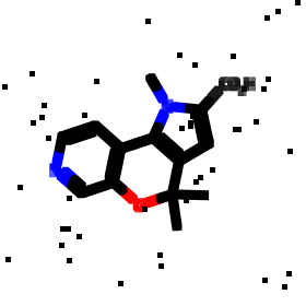 Cn1c(C(=O)O)cc2c1-c1ccncc1OC2(C)C